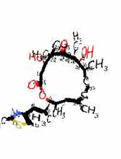 C/C1=C/C(C)[C@@H](/C(C)=C/c2csc(C)n2)OC(=O)C[C@H](O)C(C)(C)C(=O)[C@H](C)[C@@H](O)[C@@H](C)CCC1